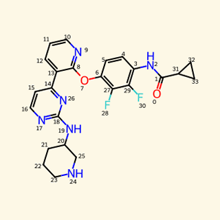 O=C(Nc1ccc(Oc2ncccc2-c2ccnc(NC3CCCNC3)n2)c(F)c1F)C1CC1